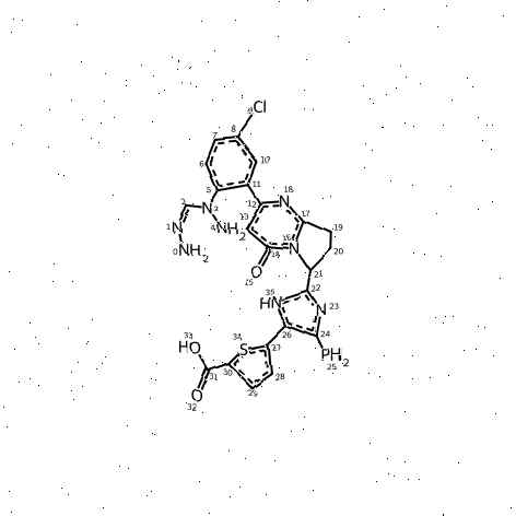 N/N=C\N(N)c1ccc(Cl)cc1-c1cc(=O)n2c(n1)CCC2c1nc(P)c(-c2ccc(C(=O)O)s2)[nH]1